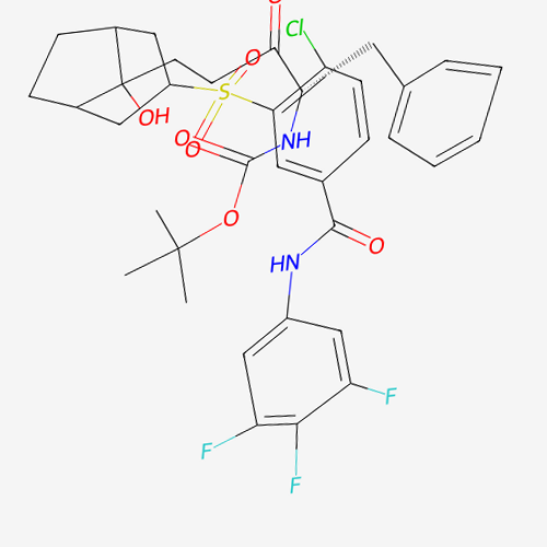 CC(C)(C)OC(=O)N[C@@H](Cc1ccccc1)C(=O)CCC1(O)C2CCC1CC(S(=O)(=O)c1cc(C(=O)Nc3cc(F)c(F)c(F)c3)ccc1Cl)C2